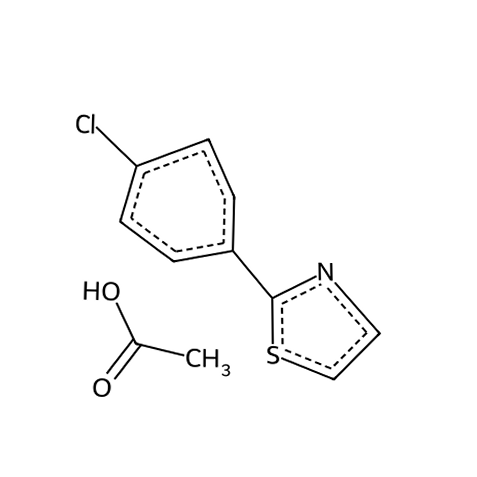 CC(=O)O.Clc1ccc(-c2nccs2)cc1